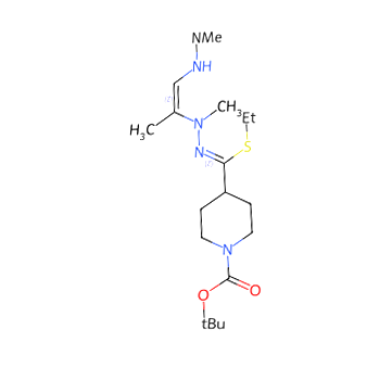 CCS/C(=N\N(C)/C(C)=C\NNC)C1CCN(C(=O)OC(C)(C)C)CC1